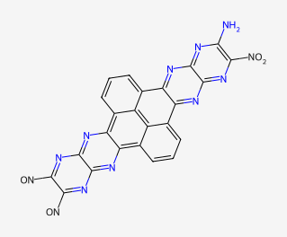 Nc1nc2nc3c4cccc5c6nc7nc(N=O)c(N=O)nc7nc6c6cccc(c3nc2nc1[N+](=O)[O-])c6c45